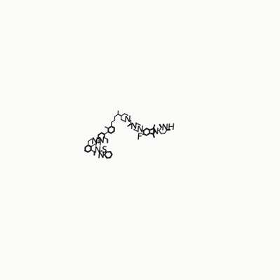 C=Cc1nc(N2CCc3cccc(C(=C)Nc4nc5ccccc5s4)c3C2)ccc1-c1cccc(CCCC(C)C2CCN(CC(=C)N3CCN(c4cc5c(=C)n(C6CCC(=C)NC6=C)c(=C)c5cc4F)CC3)CC2)c1C